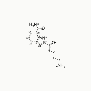 NCCC[CH]C(=O)c1nc2c(C(N)=O)cccc2s1